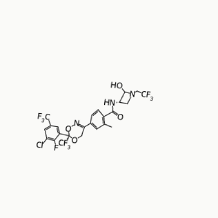 Cc1cc(C2=NO[C@](c3cc(C(F)(F)F)cc(Cl)c3F)(C(F)(F)F)OC2)ccc1C(=O)N[C@H]1CN(CC(F)(F)F)C1O